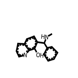 CNC(c1ccccc1)c1ccc2cccnc2c1O